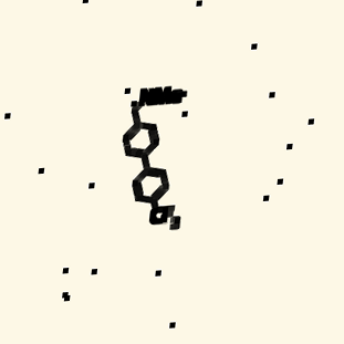 C[N]Cc1ccc(-c2ccc(C(F)(F)F)cc2)cc1